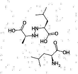 CC(C)C[C@H](N)C(=O)O.CC(C)C[C@H](NN[C@@H](C)C(=O)O)C(=O)O